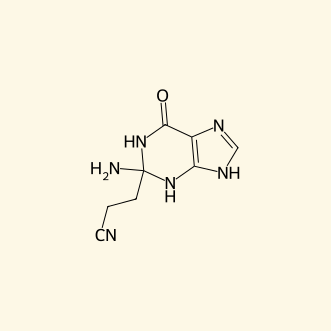 N#CCCC1(N)NC(=O)c2nc[nH]c2N1